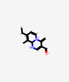 C=C1C(C=O)=CNC2C(C)=C(CC)C=CN12